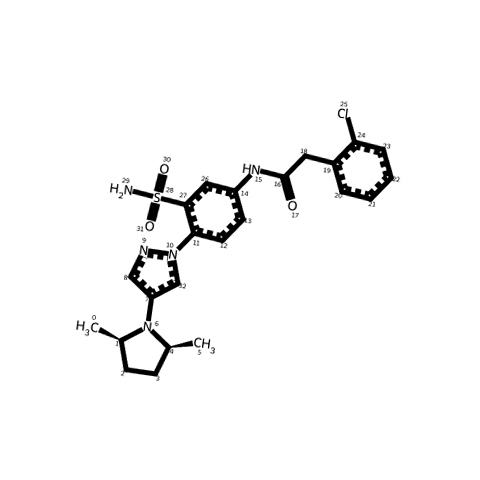 C[C@@H]1CC[C@H](C)N1c1cnn(-c2ccc(NC(=O)Cc3ccccc3Cl)cc2S(N)(=O)=O)c1